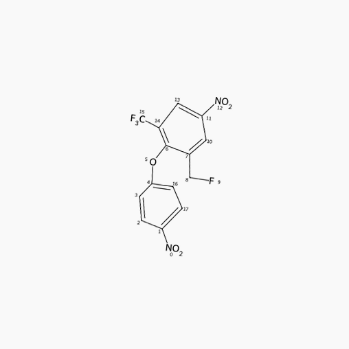 O=[N+]([O-])c1ccc(Oc2c(CF)cc([N+](=O)[O-])cc2C(F)(F)F)cc1